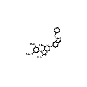 COc1cc(OC)cc(N2C(N)=NN3CC(c4ccc5cnn(Cc6ccccc6)c5c4)=NC(N)=C32)c1